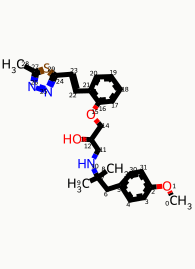 COc1ccc(CC(C)(C)NCC(O)COc2ccccc2C=Cc2nnc(C)s2)cc1